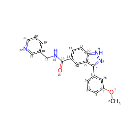 COc1cccc(-c2n[nH]c3ccc(C(=O)NCc4cccnc4)cc23)c1